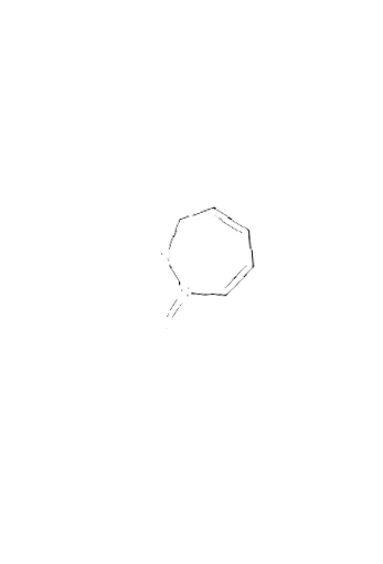 S=[N+]1C=CC=CCN1